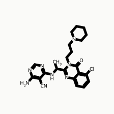 CC(Nc1ncnc(N)c1C#N)c1nc2cccc(Cl)c2c(=O)n1CCCN1CCCCC1